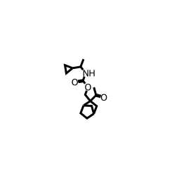 CC(=O)C1(COC(=O)NC(C)C2CC2)CC2CCC1C2